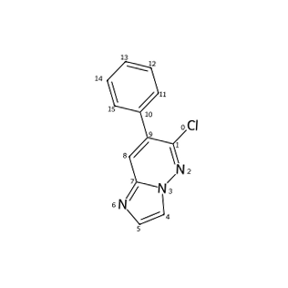 Clc1nn2ccnc2cc1-c1ccccc1